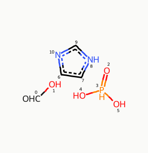 O=CO.O=[PH](O)O.c1c[nH]cn1